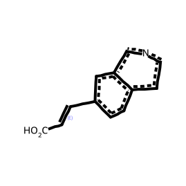 O=C(O)/C=C/c1ccc2ccncc2c1